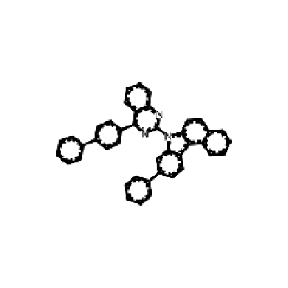 c1ccc(-c2ccc(-c3nc(-n4c5cc(-c6ccccc6)ccc5c5c6ccccc6ccc54)nc4ccccc34)cc2)cc1